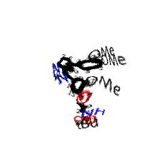 COc1ccc(-c2ccc3ncnc(-c4ccc(OCCCNC(=O)OC(C)(C)C)c(OC)c4)c3c2)cc1OC